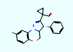 O=CC1(C2=NN3c4cc(F)ccc4OCC3[C@@H]2c2ccccc2)CC1